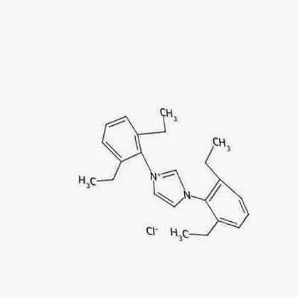 CCc1cccc(CC)c1-n1cc[n+](-c2c(CC)cccc2CC)c1.[Cl-]